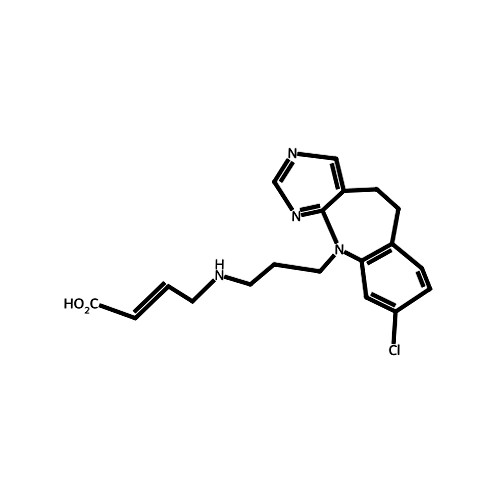 O=C(O)/C=C/CNCCCN1c2cc(Cl)ccc2CCc2cncnc21